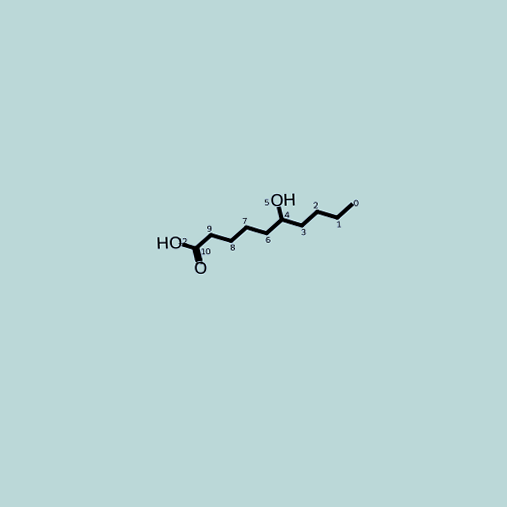 CCCCC(O)CCCCC(=O)O